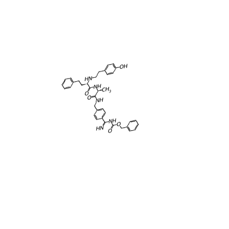 C[C@H](NC(=O)[C@@H](CCc1ccccc1)NCCc1ccc(O)cc1)C(=O)NCc1ccc(C(=N)NC(=O)OCc2ccccc2)cc1